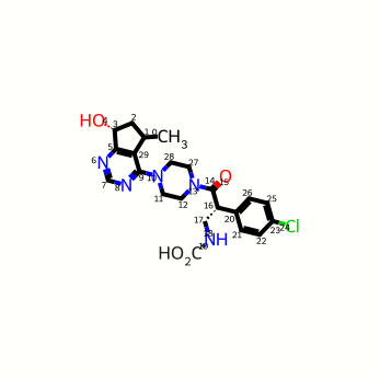 CC1C[C@@H](O)c2ncnc(N3CCN(C(=O)[C@@H](CNC(=O)O)c4ccc(Cl)cc4)CC3)c21